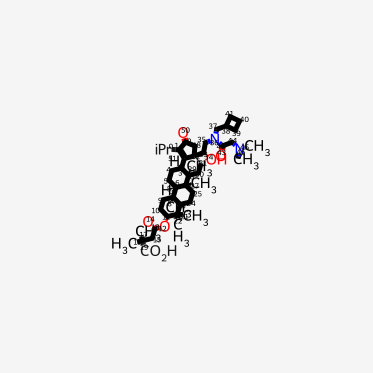 CC(C)C1=C2[C@H]3CC[C@@H]4[C@@]5(C)CC[C@H](OC(=O)CC(C)(C)C(=O)O)C(C)(C)C5CC[C@@]4(C)[C@]3(C)CC[C@@]2([C@@H](O)CN(CC2CCC2)C(=O)CN(C)C)CC1=O